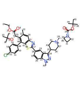 CCOC(=O)[C@@H](OC(C)(C)C)c1c(C)cc2nc(-c3ccc4c(c3)c(C3CCN(C[C@H]5CCN5C(=O)OC(C)(C)C)CC3)nn4C)sc2c1-c1ccc(Cl)cc1